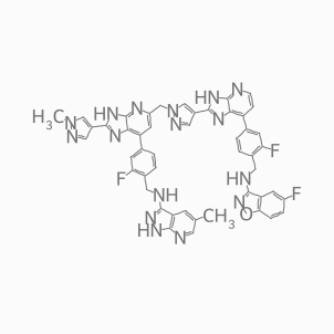 Cc1cnc2[nH]nc(NCc3ccc(-c4cc(Cn5cc(-c6nc7c(-c8ccc(CNc9noc%10ccc(F)cc9%10)c(F)c8)ccnc7[nH]6)cn5)nc5[nH]c(-c6cnn(C)c6)nc45)cc3F)c2c1